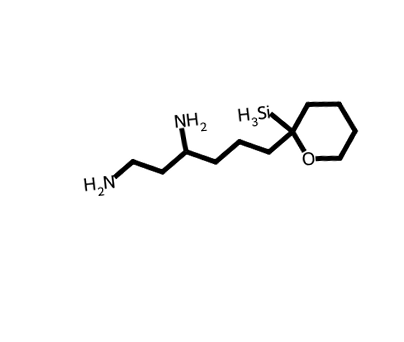 NCCC(N)CCCC1([SiH3])CCCCO1